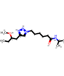 CCC(Cc1cn(CCCCCC(=O)NC(C)C)nn1)OC